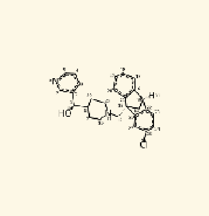 O[C@@H](c1cccnc1)C1CCN(C[C@@]23C[C@@H](c4ccccc42)c2ccc(Cl)cc23)CC1